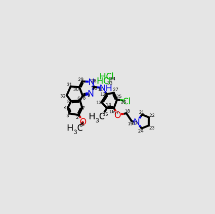 COc1ccc2c(c1)-c1nc(Nc3cc(C)c(OCCN4CCCC4)c(Cl)c3)ncc1CC2.Cl.Cl